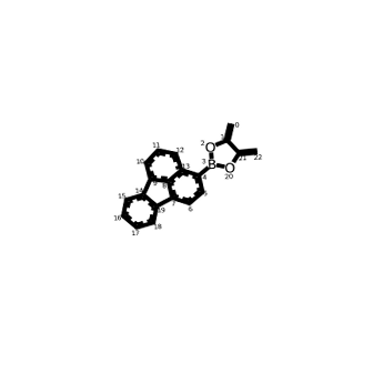 C=C1OB(c2ccc3c4c(cccc24)-c2ccccc2-3)OC1=C